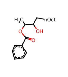 CCCCCCCCCC(O)C(C)OC(=O)c1ccccc1